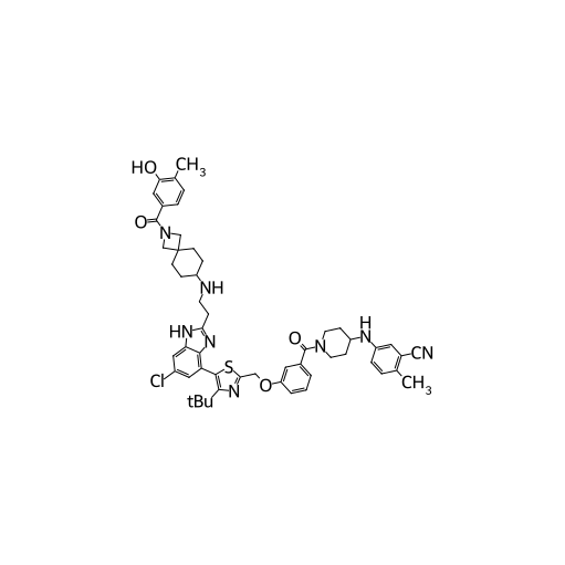 Cc1ccc(C(=O)N2CC3(CCC(NCCc4nc5c(-c6sc(COc7cccc(C(=O)N8CCC(Nc9ccc(C)c(C#N)c9)CC8)c7)nc6C(C)(C)C)cc(Cl)cc5[nH]4)CC3)C2)cc1O